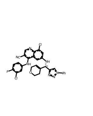 CC(C)n1cc([C@@H](Nc2cc(Cl)c3ncc(C#N)c(Nc4ccc(F)c(Cl)c4)c3c2)C2=CCOCC2)nn1